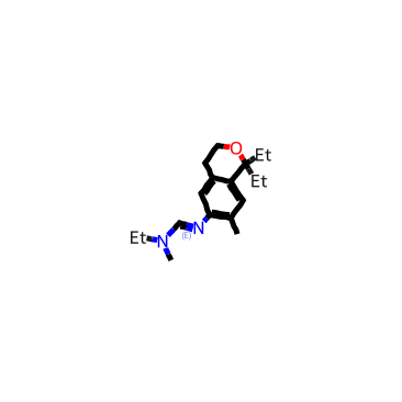 CCN(C)/C=N/c1cc2c(cc1C)C(CC)(CC)OCC2